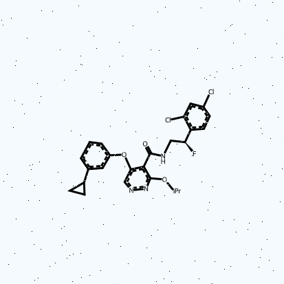 CC(C)Oc1nncc(Oc2cccc(C3CC3)c2)c1C(=O)NC[C@H](F)c1ccc(Cl)cc1Cl